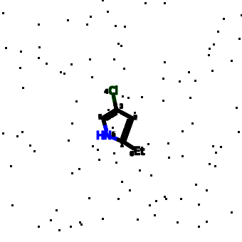 CCc1cc(Cl)c[nH]1